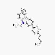 CCCCc1ccc(-c2ccc3c4cc(C)ccc4n(CC)c3c2)cc1